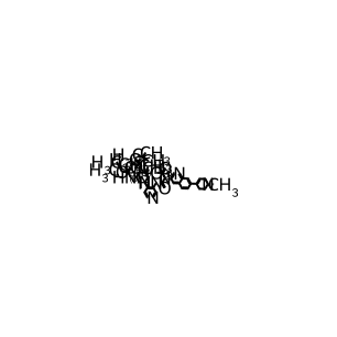 C[C@H]1CN(c2ccncc2NC(=O)N(C(=O)O)c2cnc3cc(C4=CCN(C)CC4)ccc3c2)C[C@@H](NC(=O)OC(C)(C)C)[C@@H]1O[Si](C)(C)C(C)(C)C